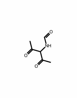 CC(=O)C(NC=O)C(C)=O